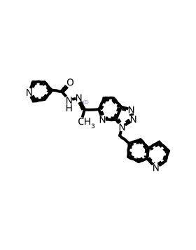 C/C(=N\NC(=O)c1ccncc1)c1ccc2nnn(Cc3ccc4ncccc4c3)c2n1